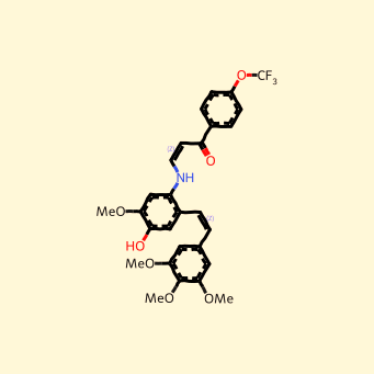 COc1cc(N/C=C\C(=O)c2ccc(OC(F)(F)F)cc2)c(/C=C\c2cc(OC)c(OC)c(OC)c2)cc1O